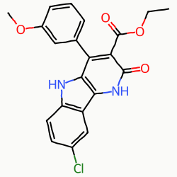 CCOC(=O)c1c(-c2cccc(OC)c2)c2[nH]c3ccc(Cl)cc3c2[nH]c1=O